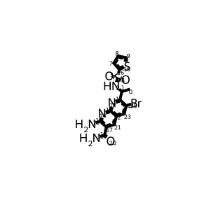 CC(NS(=O)(=O)c1cccs1)c1nc2nc(N)c(C(N)=O)cc2cc1Br